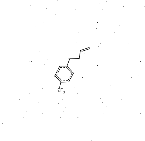 C=CC[CH]c1ccc(C(F)(F)F)cc1